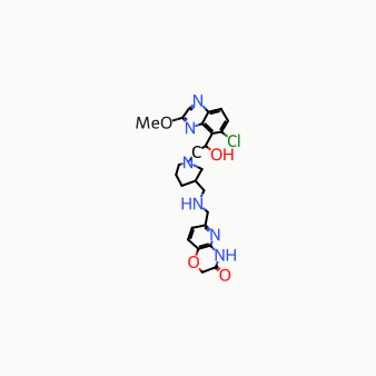 COc1cnc2ccc(Cl)c(C(O)CN3CCCC(CNCc4ccc5c(n4)NC(=O)CO5)C3)c2n1